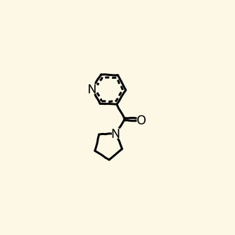 O=C(c1cccnc1)N1CCCC1